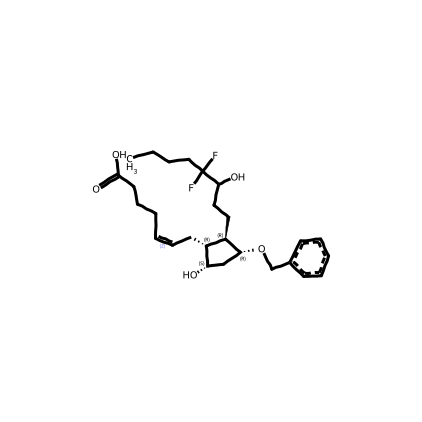 CCCCC(F)(F)C(O)CC[C@@H]1[C@@H](C/C=C\CCCC(=O)O)[C@@H](O)C[C@H]1OCc1ccccc1